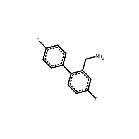 NCc1cc(F)ccc1-c1ccc(F)cc1